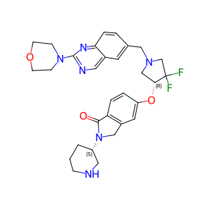 O=C1c2ccc(O[C@@H]3CN(Cc4ccc5nc(N6CCOCC6)ncc5c4)CC3(F)F)cc2CN1[C@H]1CCCNC1